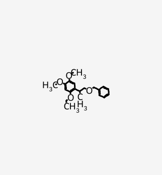 CCOc1cc(OC)c(OC)cc1C(C)COCc1ccccc1